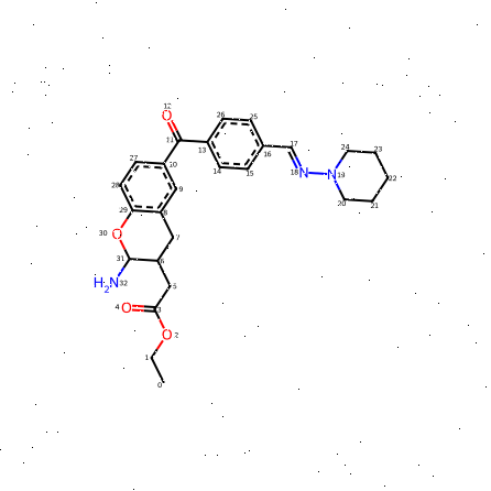 CCOC(=O)CC1Cc2cc(C(=O)c3ccc(C=NN4CCCCC4)cc3)ccc2OC1N